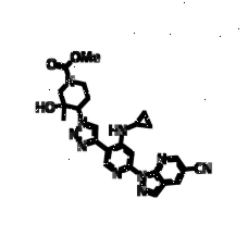 COC(=O)N1CCC(n2cc(-c3cnc(-n4ncc5cc(C#N)cnc54)cc3NC3CC3)nn2)C(C)(O)C1